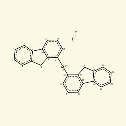 [F-].[F-].c1ccc2c(c1)Cc1[c]([Zr+2][c]3cccc4c3Cc3ccccc3-4)cccc1-2